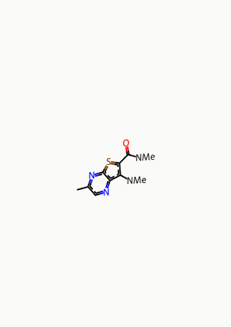 CNC(=O)c1sc2nc(C)cnc2c1NC